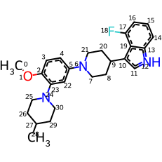 COc1ccc(N2CCC(c3c[nH]c4cccc(F)c34)CC2)cc1N1CCC(C)CC1